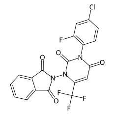 O=C1c2ccccc2C(=O)N1n1c(C(F)(F)F)cc(=O)n(-c2ccc(Cl)cc2F)c1=O